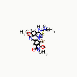 COc1ccc(-c2nc(N(C)C)sc2/N=N/c2c(C#N)cc3c(c2Br)C(=O)N(C)C3=O)cc1